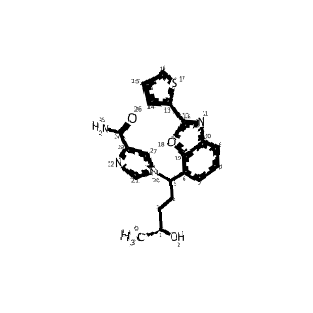 C[C@H](O)CCC(c1cccc2nc(-c3cccs3)oc12)n1cnc(C(N)=O)c1